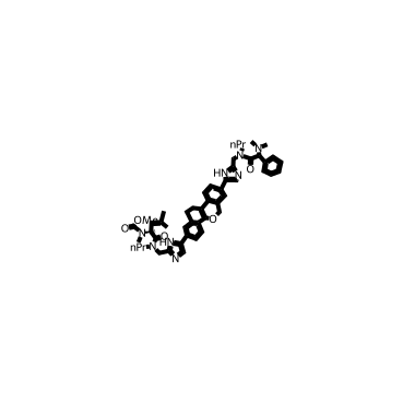 CCCN(Cc1ncc(-c2ccc3c(c2)COC2=C3CCc3cc(-c4cnc(CN(CCC)C(=O)[C@H](C=C(C)C)N(C)C(=O)OC)[nH]4)ccc32)[nH]1)C(=O)C(c1ccccc1)N(C)C